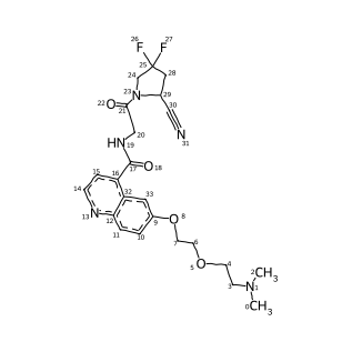 CN(C)CCOCCOc1ccc2nccc(C(=O)NCC(=O)N3CC(F)(F)CC3C#N)c2c1